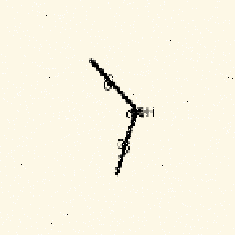 CCCCCCCCCOC(=O)CCCCCCCCCCCC(CO)(CO)CCCCCCCCCCCC(=O)OCCCCCCCCC